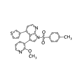 COc1ncccc1-c1cn(S(=O)(=O)c2ccc(C)cc2)c2nccc(-c3ccsc3)c12